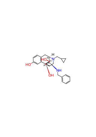 Oc1ccc2c(c1)[C@]13CCN(CC4CC4)[C@H](C2)[C@]1(O)C[C@@H](NCc1ccccc1)[C@@H](O)C3